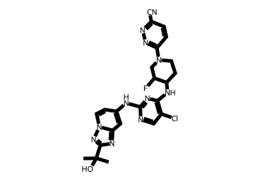 CC(C)(O)c1nc2cc(Nc3ncc(Cl)c(NC4CCN(c5ccc(C#N)nn5)CC4F)n3)ccn2n1